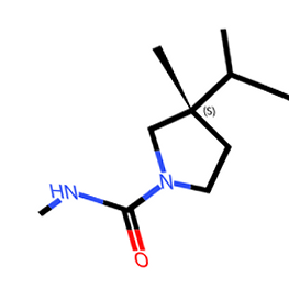 CNC(=O)N1CC[C@@](C)(C(C)C)C1